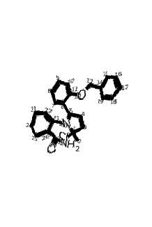 CC1(Cl)C=CC(c2ccccc2OCc2ccccc2)N1c1ccccc1C(N)=O